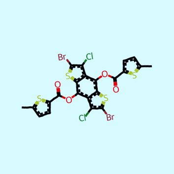 Cc1ccc(C(=O)Oc2c3sc(Br)c(Cl)c3c(OC(=O)c3ccc(C)s3)c3sc(Br)c(Cl)c23)s1